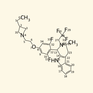 CCC1CN(CCOc2cc(F)c(C3c4[nH]c5ccccc5c4CC(C)N3CC(F)(F)F)c(F)c2)C1